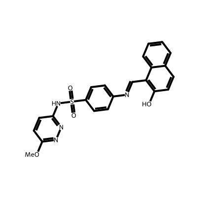 COc1ccc(NS(=O)(=O)c2ccc(/N=C/c3c(O)ccc4ccccc34)cc2)nn1